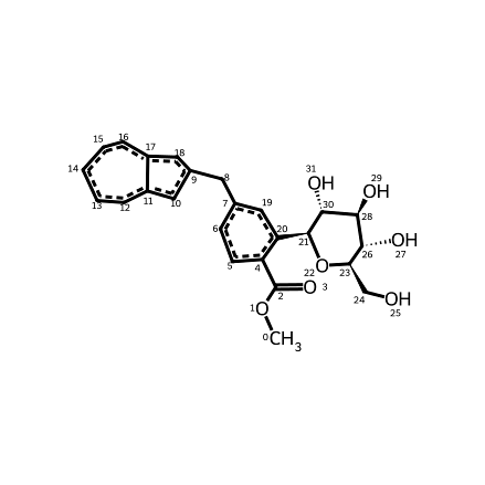 COC(=O)c1ccc(Cc2cc3cccccc-3c2)cc1[C@@H]1O[C@H](CO)[C@@H](O)[C@H](O)[C@H]1O